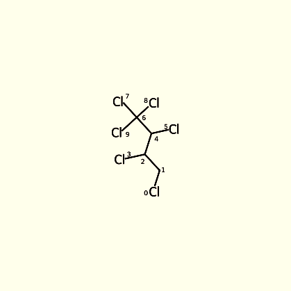 ClCC(Cl)C(Cl)C(Cl)(Cl)Cl